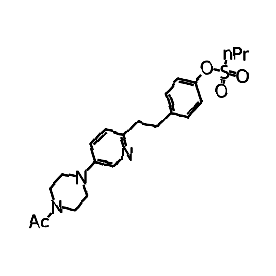 CCCS(=O)(=O)Oc1ccc(CCc2ccc(N3CCN(C(C)=O)CC3)cn2)cc1